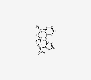 COC(=O)c1cncn1[C@@H]1c2ccccc2[C@@H](O)CC1(C)C